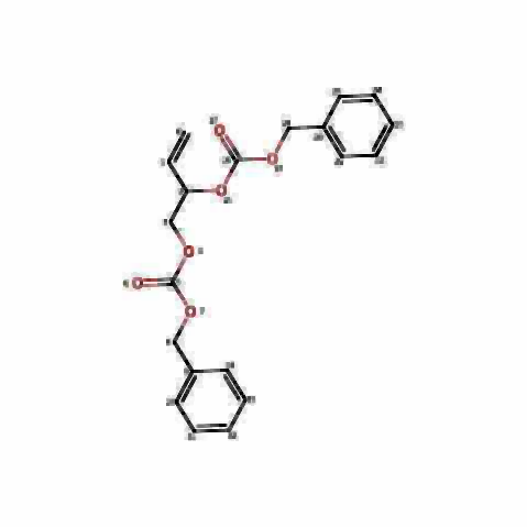 C=CC(COC(=O)OCc1ccccc1)OC(=O)OCc1ccccc1